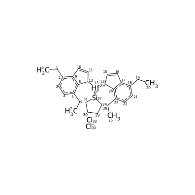 CCc1ccc(CC)c2c1C=C[CH]2[Hf+2]([CH]1C=Cc2c(CC)ccc(CC)c21)=[Si]1CCCC1.[Cl-].[Cl-]